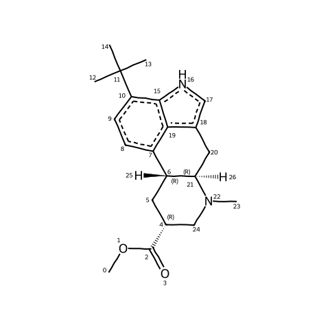 COC(=O)[C@@H]1C[C@@H]2c3ccc(C(C)(C)C)c4[nH]cc(c34)C[C@H]2N(C)C1